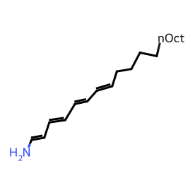 CCCCCCCCCCCC/C=C/C=C/C=C/C=C/N